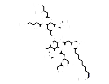 CCCCCC/C=C\CCCCCCCC(=O)O[C@H](CCCCCCCCCCC)CC(=O)N[C@H]1C(OC(=O)C[C@@H](CCCCCCCCCCC)OC(=O)CCCCCCCCCCC)C(OP(=O)(O)O)C(CO)O[C@H]1OCC1OC(OP(C)(=O)O)[C@@H](NC(=O)C[C@H](O)CCCCCCCCCCC)C(OC(=O)C[C@H](O)CCCCCCCCCCC)[C@@H]1O